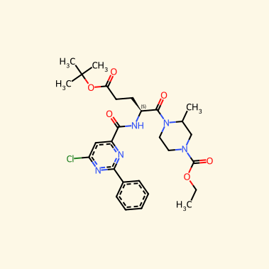 CCOC(=O)N1CCN(C(=O)[C@H](CCC(=O)OC(C)(C)C)NC(=O)c2cc(Cl)nc(-c3ccccc3)n2)C(C)C1